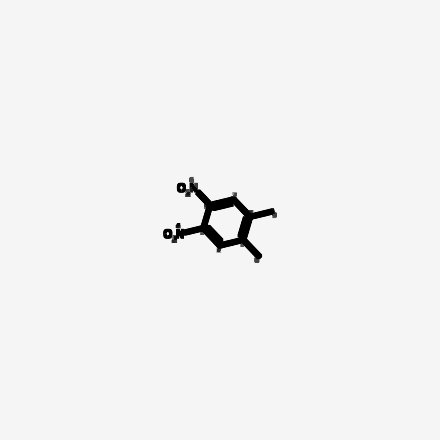 Cc1cc([N+](=O)[O-])c([N+](=O)[O-])cc1C